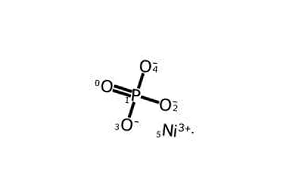 O=P([O-])([O-])[O-].[Ni+3]